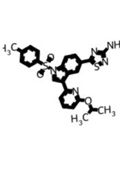 Cc1ccc(S(=O)(=O)n2cc(-c3cccc(OC(C)C)n3)c3cc(-c4nc(N)ns4)ccc32)cc1